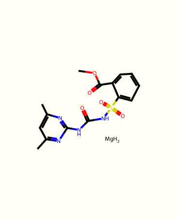 COC(=O)c1ccccc1S(=O)(=O)NC(=O)Nc1nc(C)cc(C)n1.[MgH2]